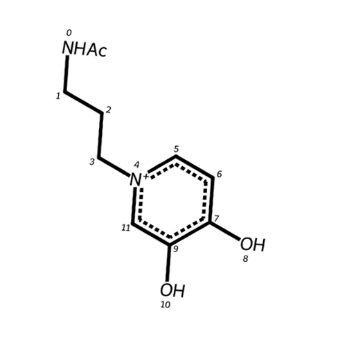 CC(=O)NCCC[n+]1ccc(O)c(O)c1